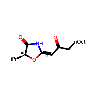 CCCCCCCCCC(=O)/C=C1\NC(=O)[C@H](C(C)C)O1